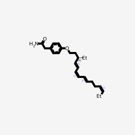 CC/C=C\CC/C=C/C=C\C=C\[C@@H](CC)CCOc1ccc(CC(N)=O)cc1